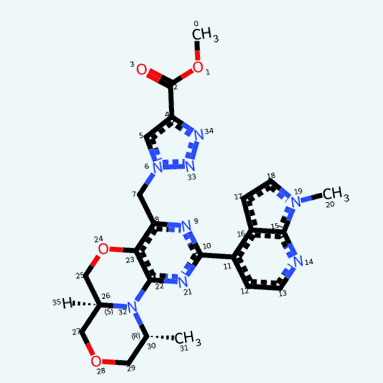 COC(=O)c1cn(Cc2nc(-c3ccnc4c3ccn4C)nc3c2OC[C@@H]2COC[C@@H](C)N32)nn1